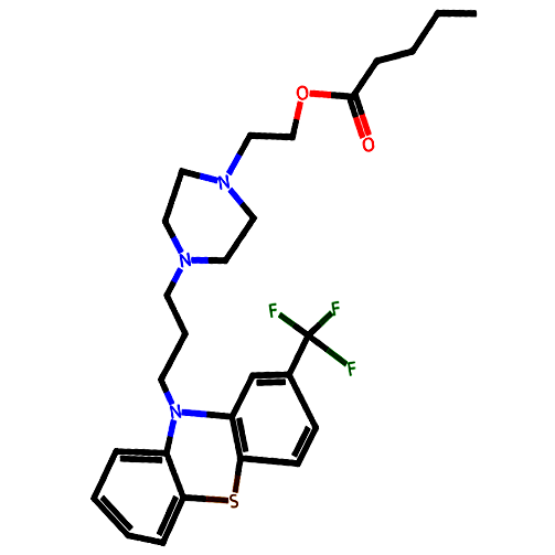 CCCCC(=O)OCCN1CCN(CCCN2c3ccccc3Sc3ccc(C(F)(F)F)cc32)CC1